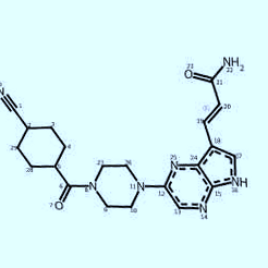 N#CC1CCC(C(=O)N2CCN(c3cnc4[nH]cc(/C=C/C(N)=O)c4n3)CC2)CC1